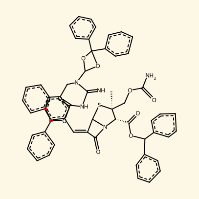 C[C@@]1(COC(N)=O)SC2/C(=C\c3cc(CN(C(=N)NC(=O)OC(c4ccccc4)c4ccccc4)C4OC(c5ccccc5)(c5ccccc5)O4)ccn3)C(=O)N2[C@H]1C(=O)OC(c1ccccc1)c1ccccc1